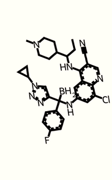 BC(Nc1cc(Cl)c2ncc(C#N)c(NC(CC)C3CCN(C)CC3)c2c1)(c1ccc(F)cc1)c1cn(C2CC2)nn1